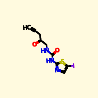 C#CCC(=O)CNC(=O)Nc1ncc(I)s1